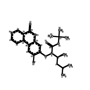 CC(C)C[C@H](C)N(Oc1cc2oc(=O)c3cnccc3c2cc1Br)C(=O)OC(C)(C)C